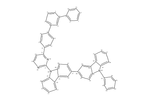 c1ccc(-c2cccc(-c3ccc(-c4ccnc(-n5c6ccccc6c6cc(-c7ccc8c(c7)c7ccccc7n8-c7ccccc7)ccc65)n4)cc3)c2)cc1